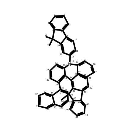 CC1(C)c2ccccc2-c2ccc(N(C3=CC=CCC3)c3cccc(-c4cccc5ccccc45)c3-c3cccc4c3C(C)(C)c3ccccc3-4)cc21